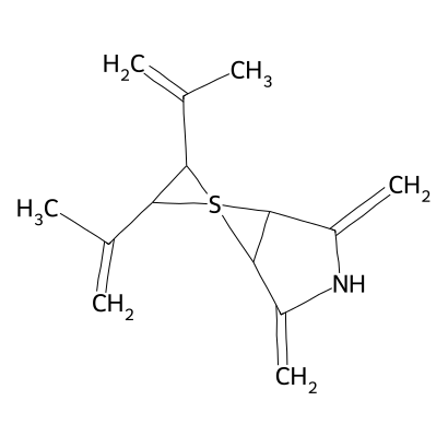 C=C(C)C1C(C(=C)C)S12C1C(=C)NC(=C)C12